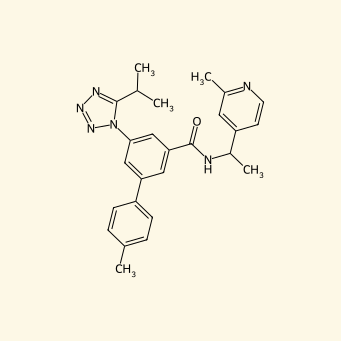 Cc1ccc(-c2cc(C(=O)NC(C)c3ccnc(C)c3)cc(-n3nnnc3C(C)C)c2)cc1